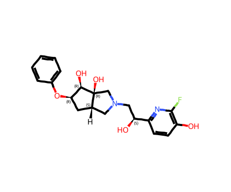 Oc1ccc([C@@H](O)CN2C[C@@H]3C[C@@H](Oc4ccccc4)[C@@H](O)[C@]3(O)C2)nc1F